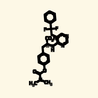 CN(C)C(=O)Oc1ccc(C[C@H](Nc2ncncc2CC(F)(F)c2ccccc2)C(=O)O)cc1